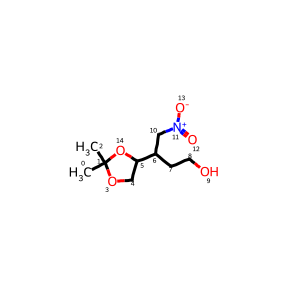 CC1(C)OCC(C(CCO)C[N+](=O)[O-])O1